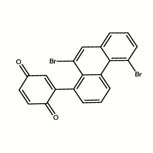 O=C1C=CC(=O)C(c2cccc3c2c(Br)cc2cccc(Br)c23)=C1